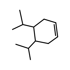 CC(C)C1CC=CCC1C(C)C